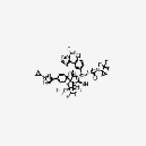 CC(C)(C[C@]1(C2(C)C=CC(c3cnn(C4CC4)n3)=CC2)NC(=N)N([C@H](COC(=O)NC2(C(F)(F)F)CC2)c2ccc(Cl)c(-c3ncnn3C(F)F)c2)C1=O)C(F)F